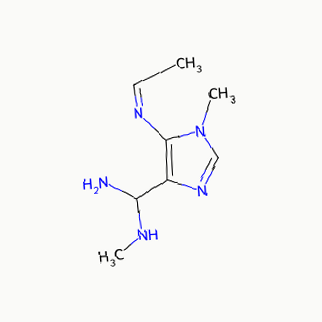 C/C=N\c1c(C(N)NC)ncn1C